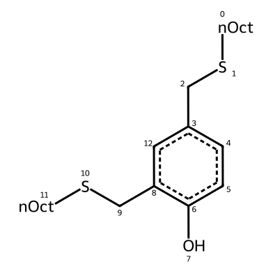 CCCCCCCCSCc1ccc(O)c(CSCCCCCCCC)c1